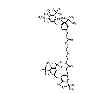 CC(C)(C)c1cc(CCC(=O)OCCSCCOC(=O)CCc2cc(Cc3cc(C(C)(C)C)c(O)c(C(C)(C)C)c3)c(O)c(C(C)(C)C)c2)cc(Cc2cc(C(C)(C)C)c(O)c(C(C)(C)C)c2)c1O